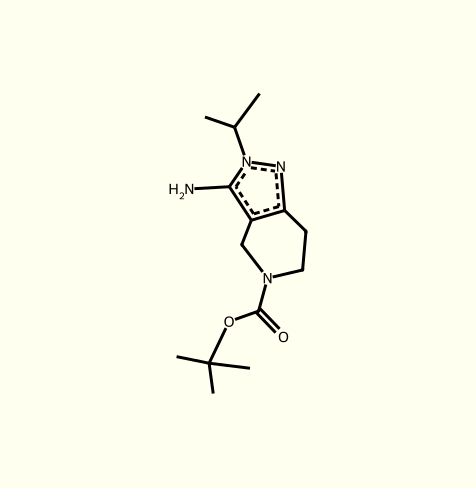 CC(C)n1nc2c(c1N)CN(C(=O)OC(C)(C)C)CC2